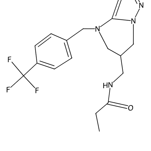 CCC(=O)NCC1CN(Cc2ccc(C(F)(F)F)cc2)c2ccnn2C1